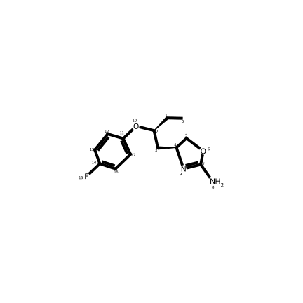 CC[C@@H](C[C@H]1COC(N)=N1)Oc1ccc(F)cc1